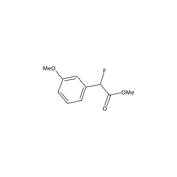 COC(=O)C(F)c1cccc(OC)c1